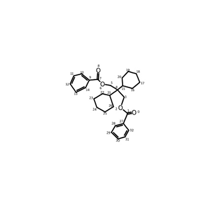 O=C(OCC(COC(=O)c1ccccc1)(C1CCCCC1)C1CCCCC1)c1ccccc1